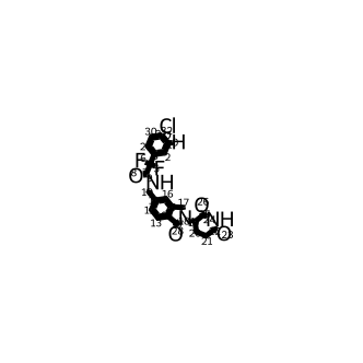 [2H]c1cc(C(F)(F)C(=O)NCc2ccc3c(c2)CN(C2CCC(=O)NC2=O)C3=O)ccc1Cl